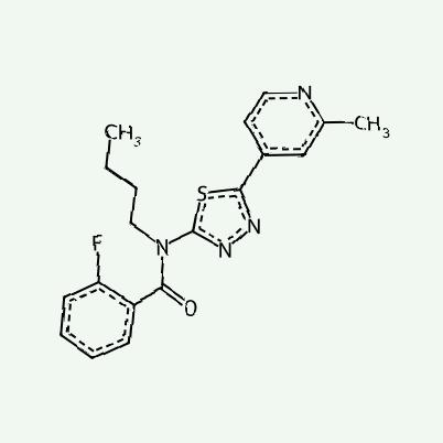 CCCCN(C(=O)c1ccccc1F)c1nnc(-c2ccnc(C)c2)s1